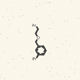 CC(=O)CCOCc1cccc(C(C)C)c1